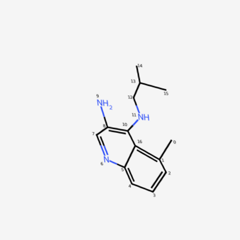 Cc1cccc2ncc(N)c(NCC(C)C)c12